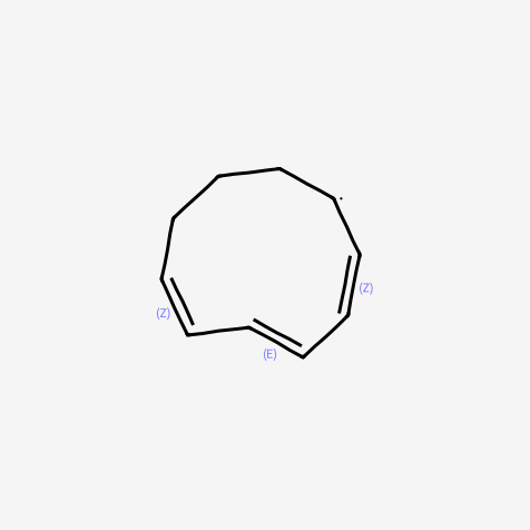 [CH]1\C=C/C=C/C=C\CCC1